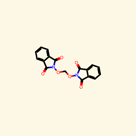 O=C1c2ccccc2C(=O)N1OCON1C(=O)c2ccccc2C1=O